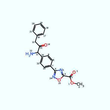 COC(=O)c1nc(-c2ccc(C(N)C(=O)Cc3ccccc3)cc2)no1